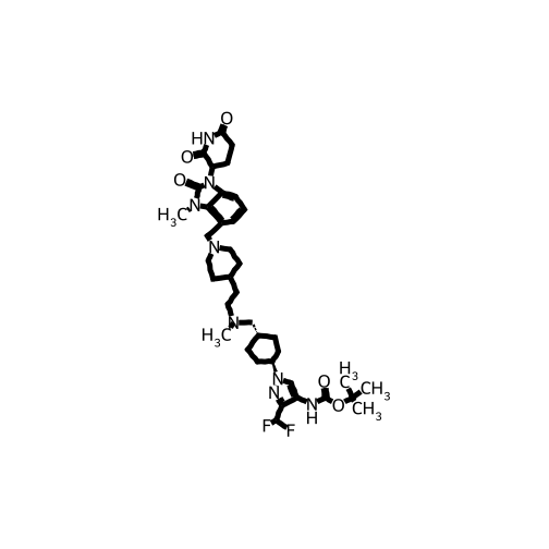 CN(CCC1CCN(Cc2cccc3c2n(C)c(=O)n3C2CCC(=O)NC2=O)CC1)C[C@H]1CC[C@H](n2cc(NC(=O)OC(C)(C)C)c(C(F)F)n2)CC1